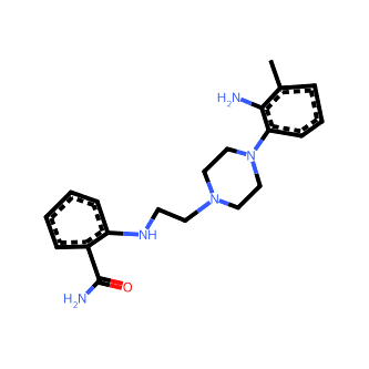 Cc1cccc(N2CCN(CCNc3ccccc3C(N)=O)CC2)c1N